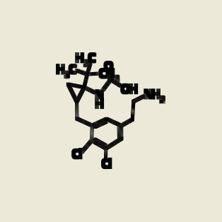 CC(C)(C)C1(NC(=O)O)CC1Cc1cc(CCN)cc(Cl)c1Cl